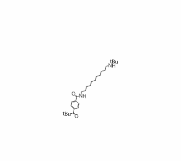 CC(C)(C)NCCCCCCCCCCCNC(=O)c1ccc(C(=O)C(C)(C)C)cc1